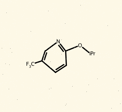 CC(C)Oc1ccc(C(F)(F)F)cn1